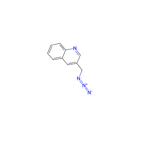 [N-]=[N+]=NCc1cnc2ccccc2c1